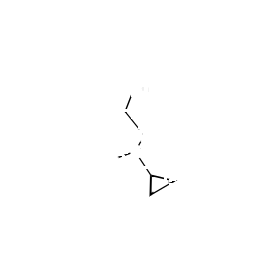 CC(C)(C)CN[S+]([O-])C1CC1